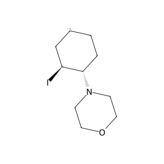 I[C@H]1C[CH]CC[C@@H]1N1CCOCC1